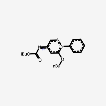 CCCCOc1c/c(=N\C(=O)OCC(C)C)cnn1-c1ccccc1